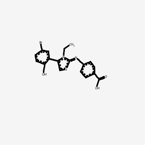 CCn1c(-c2cc(Br)ccc2O)csc1=Nc1ccc(C(=O)O)cc1